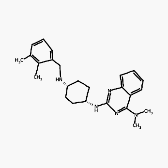 Cc1cccc(CN[C@H]2CC[C@@H](Nc3nc(N(C)C)c4ccccc4n3)CC2)c1C